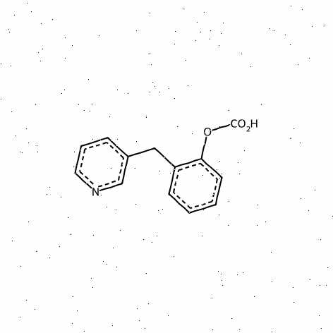 O=C(O)Oc1ccccc1Cc1cccnc1